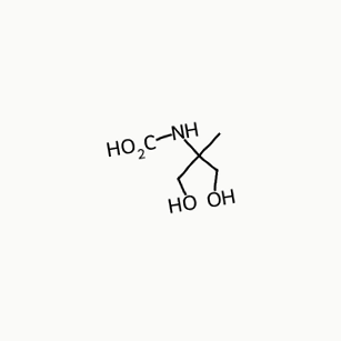 CC(CO)(CO)NC(=O)O